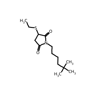 CCSC1CC(=O)N(CCCCC(C)(C)C)C1=O